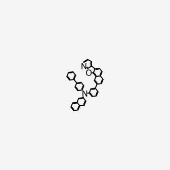 c1ccc(-c2ccc(N(c3cccc(-c4ccc5ccc6c7cccnc7oc6c5c4)c3)c3ccc4ccccc4c3)cc2)cc1